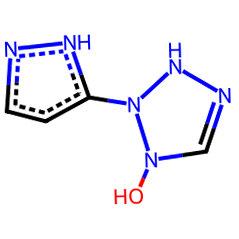 ON1C=NNN1c1ccn[nH]1